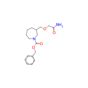 NC(=O)COCC1CCCCN(C(=O)OCc2ccccc2)C1